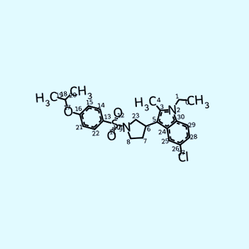 CCn1c(C)c(C2CCN(S(=O)(=O)c3ccc(OC(C)C)cc3)C2)c2cc(Cl)ccc21